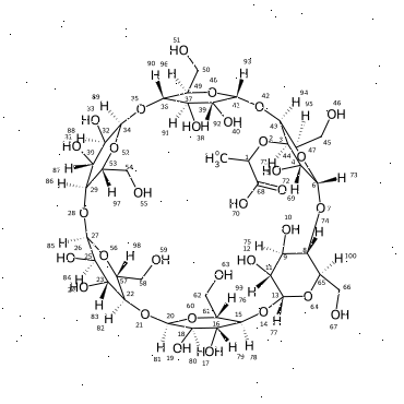 CC(O[C@@H]1[C@@H](O)[C@H]2O[C@H]3[C@H](O)[C@@H](O)[C@@H](O[C@H]4[C@H](O)[C@@H](O)[C@@H](O[C@H]5[C@H](O)[C@@H](O)[C@@H](O[C@H]6[C@H](O)[C@@H](O)[C@@H](O[C@H]7[C@H](O)[C@@H](O)[C@@H](O[C@H]1[C@@H](CO)O2)O[C@@H]7CO)O[C@@H]6CO)O[C@@H]5CO)O[C@@H]4CO)O[C@@H]3CO)C(=O)O